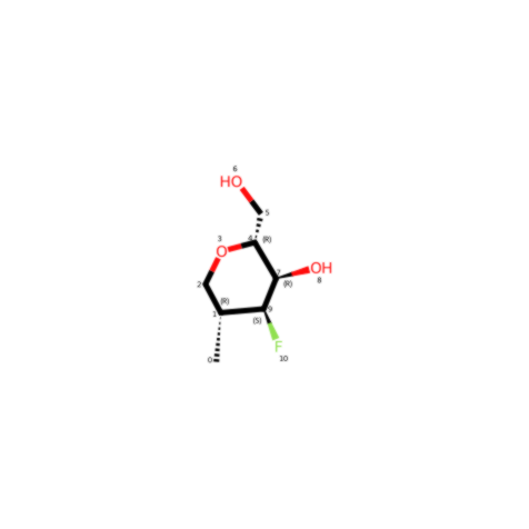 C[C@@H]1CO[C@H](CO)[C@@H](O)[C@H]1F